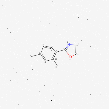 Cc1ccc(-c2ncco2)c(C)c1